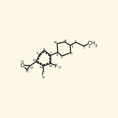 CCCC1CCC(c2ccc(C3CO3)c(F)c2F)CC1